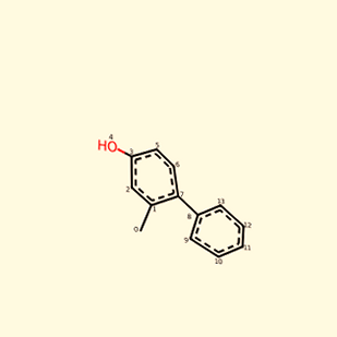 Cc1cc(O)ccc1-c1ccccc1